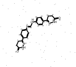 O=C1CCC(c2ccc(N=CNc3ccc(C4=NNC(=O)CC4)cc3)cc2)=NN1